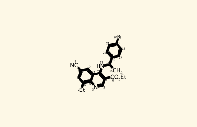 CCOC(=O)c1cnc2c(CC)cc(C#N)cc2c1NC(C)c1ccc(Br)cc1